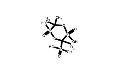 CC1(C)OP(=O)(O)C(C)(P(=O)(O)O)OP1(=O)O